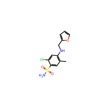 Cc1cc(S(N)(=O)=O)c(Cl)cc1NCc1ccco1